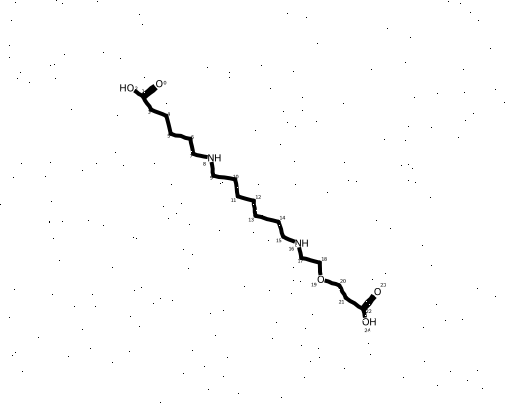 O=C(O)CCCCCNCCCCCCCNCCOCCC(=O)O